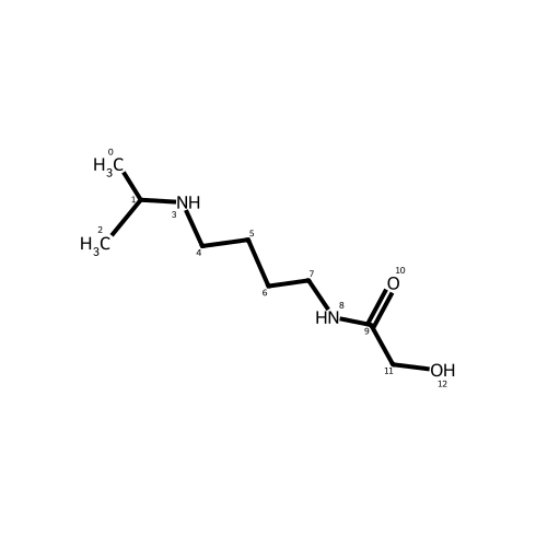 CC(C)NCCCCNC(=O)CO